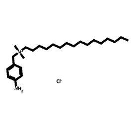 CCCCCCCCCCCCCCCC[N+](C)(C)Cc1ccc(N)cc1.[Cl-]